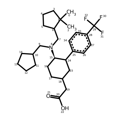 CC1(C)CCCC1CN(CC1CCCC1)[C@@H]1CCC(CC(=O)O)CC1c1ccc(C(F)(F)F)cc1